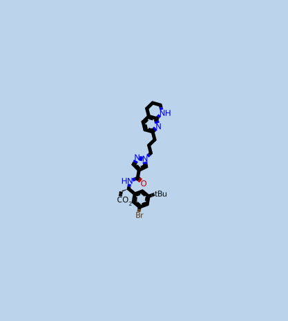 CC(C)(C)c1cc(Br)cc([C@H](CC(=O)O)NC(=O)c2cnn(CCCc3ccc4c(n3)NCCC4)c2)c1